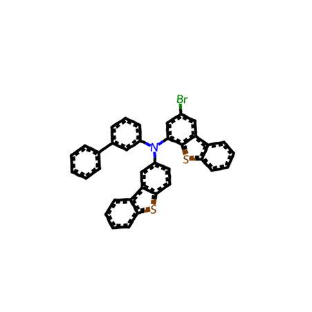 Brc1cc(N(c2cccc(-c3ccccc3)c2)c2ccc3sc4ccccc4c3c2)c2sc3ccccc3c2c1